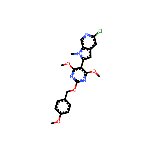 COc1ccc(COc2nc(OC)c(-c3cc4cc(Cl)ncc4n3C)c(OC)n2)cc1